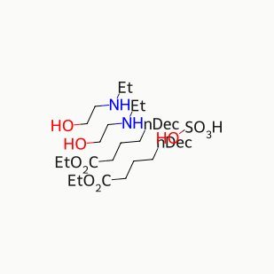 CCCCCCCCCCCCCC(=O)OCC.CCCCCCCCCCCCCC(=O)OCC.CCNCCO.CCNCCO.O=S(=O)(O)O